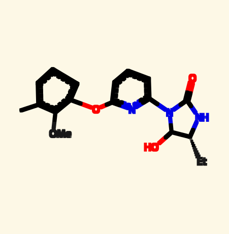 CC[C@H]1NC(=O)N(c2cccc(Oc3cccc(C)c3OC)n2)C1O